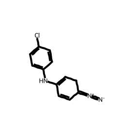 [N-]=[N+]=C1C=CC(Nc2ccc(Cl)cc2)=CC1